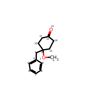 COC1(Cc2ccccc2)CCC(=O)CC1